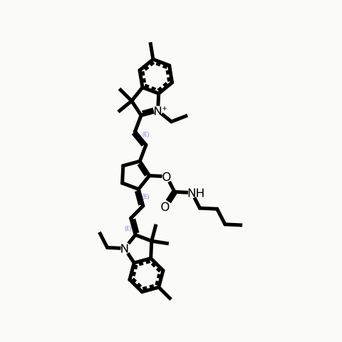 CCCCNC(=O)OC1=C(/C=C/C2=[N+](CC)c3ccc(C)cc3C2(C)C)CC/C1=C\C=C1\N(CC)c2ccc(C)cc2C1(C)C